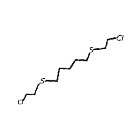 ClCCSCCCCCSCCCl